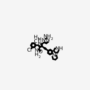 Cc1ccc(Cl)cc1-c1[nH]c(-c2ccnc(N)n2)c(C#Cc2ccc([N+]3(C4CCNCC4)CCCCC3)cc2)c1C(N)=O